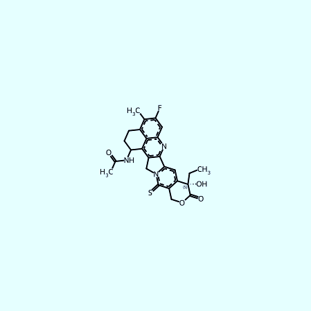 CC[C@@]1(O)C(=O)OCc2c1cc1n(c2=S)Cc2c-1nc1cc(F)c(C)c3c1c2C(NC(C)=O)CC3